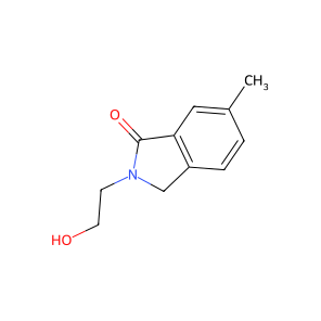 Cc1ccc2c(c1)C(=O)N(CCO)C2